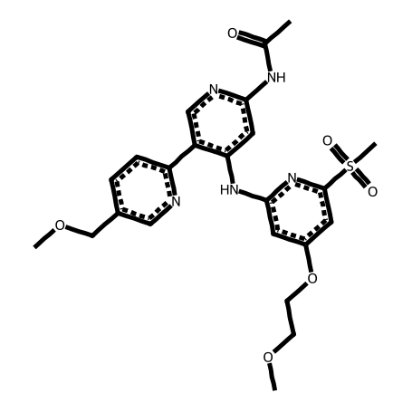 COCCOc1cc(Nc2cc(NC(C)=O)ncc2-c2ccc(COC)cn2)nc(S(C)(=O)=O)c1